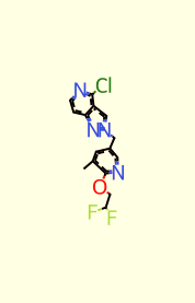 Cc1cc(Cn2cc3c(Cl)nccc3n2)cnc1OCC(F)F